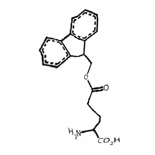 NC(CCC(=O)OCC1c2ccccc2-c2ccccc21)C(=O)O